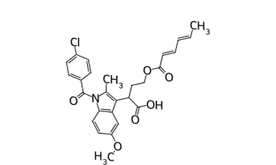 CC=CC=CC(=O)OCCC(C(=O)O)c1c(C)n(C(=O)c2ccc(Cl)cc2)c2ccc(OC)cc12